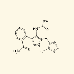 Cc1nonc1Cn1ncc(-c2ccccc2C(N)=O)c1NC(=O)C(C)(C)C